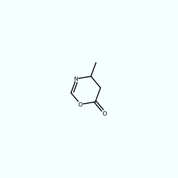 CC1CC(=O)OC=N1